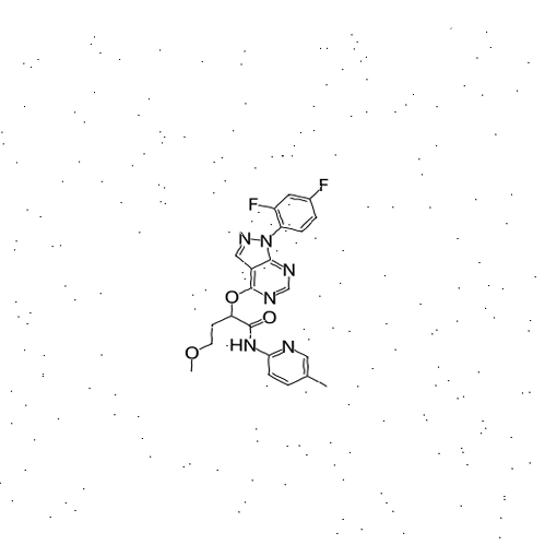 COCCC(Oc1ncnc2c1cnn2-c1ccc(F)cc1F)C(=O)Nc1ccc(C)cn1